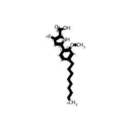 CCCCCCCCCc1ccc(-c2cc(F)c(C(=O)O)[nH]2)c(OC)c1